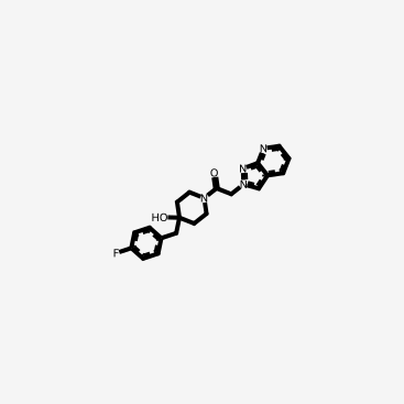 O=C(Cn1cc2cccnc2n1)N1CCC(O)(Cc2ccc(F)cc2)CC1